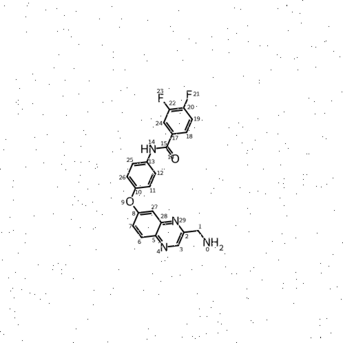 NCc1cnc2ccc(Oc3ccc(NC(=O)c4ccc(F)c(F)c4)cc3)cc2n1